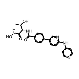 C[C@@H](O)[C@H](NC(=O)c1ccc(-c2ccc(Nc3ccncc3)nc2)cc1)C(=O)NO